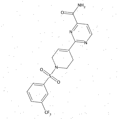 NC(=O)c1ccnc(C2=CCN(S(=O)(=O)c3cccc(C(F)(F)F)c3)CC2)n1